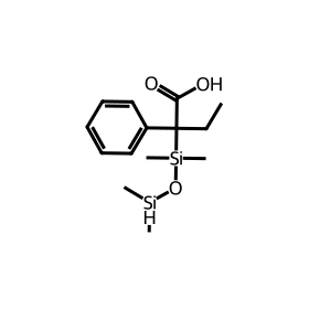 CCC(C(=O)O)(c1ccccc1)[Si](C)(C)O[SiH](C)C